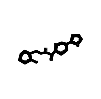 O=C(NCCc1ccccc1F)c1ccc(-c2ccco2)cn1